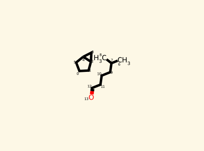 C1CC2CC2C1.CC(C)CCCC=O